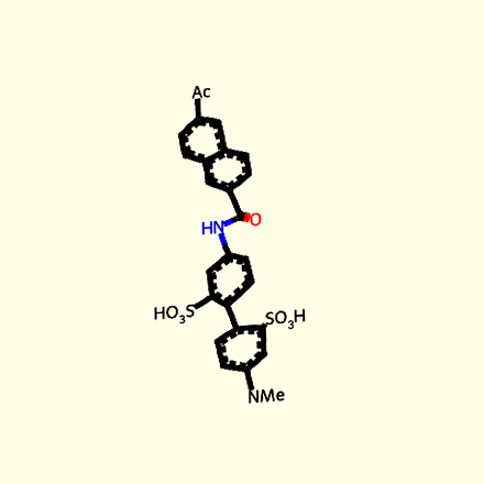 CNc1ccc(-c2ccc(NC(=O)c3ccc4cc(C(C)=O)ccc4c3)cc2S(=O)(=O)O)c(S(=O)(=O)O)c1